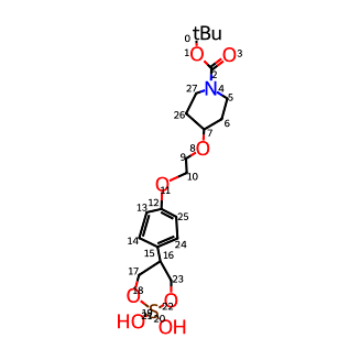 CC(C)(C)OC(=O)N1CCC(OCCOc2ccc(C3COS(O)(O)OC3)cc2)CC1